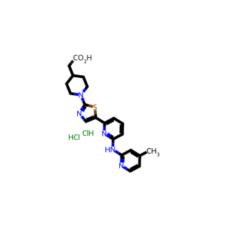 Cc1ccnc(Nc2cccc(-c3cnc(N4CCC(CC(=O)O)CC4)s3)n2)c1.Cl.Cl